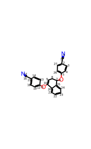 N#Cc1ccc(O[C]2CC=C(Oc3ccc(C#N)cc3)c3ccccc32)cc1